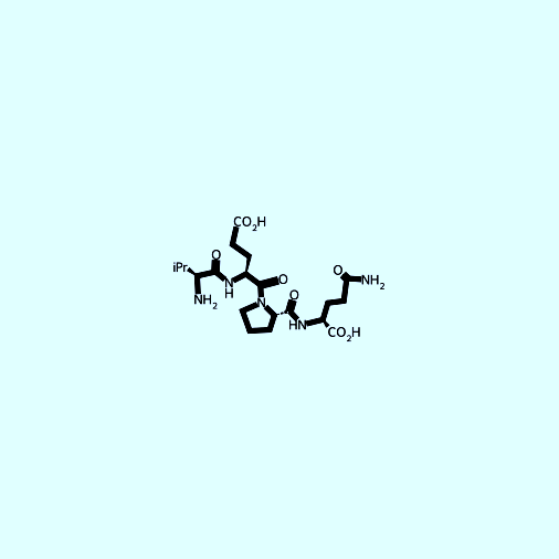 CC(C)[C@H](N)C(=O)N[C@@H](CCC(=O)O)C(=O)N1CCC[C@H]1C(=O)N[C@@H](CCC(N)=O)C(=O)O